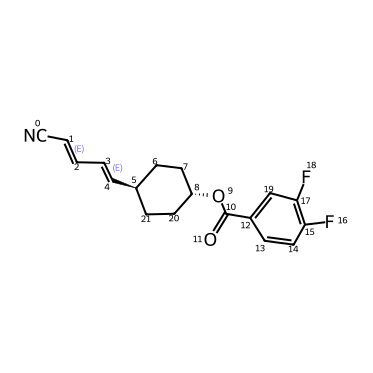 N#C/C=C/C=C/[C@H]1CC[C@H](OC(=O)c2ccc(F)c(F)c2)CC1